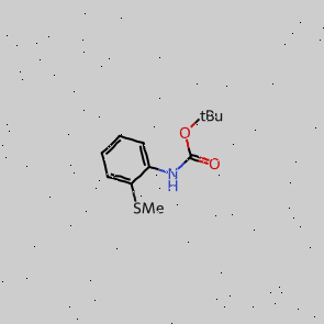 CSc1ccccc1NC(=O)OC(C)(C)C